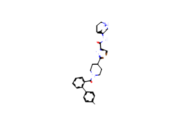 O=C(NC1CN2CCC1CC2)c1csc(C2CCN(C(=O)c3ccccc3-c3ccc(C(F)(F)F)cc3)CC2)n1